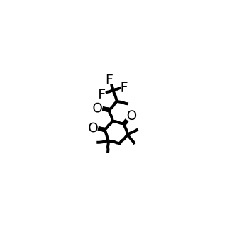 CC(C(=O)C1C(=O)C(C)(C)CC(C)(C)C1=O)C(F)(F)F